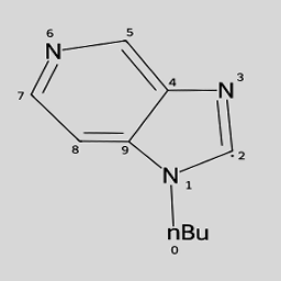 CCCCn1[c]nc2cnccc21